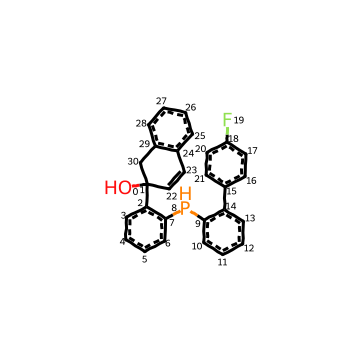 OC1(c2ccccc2Pc2ccccc2-c2ccc(F)cc2)C=Cc2ccccc2C1